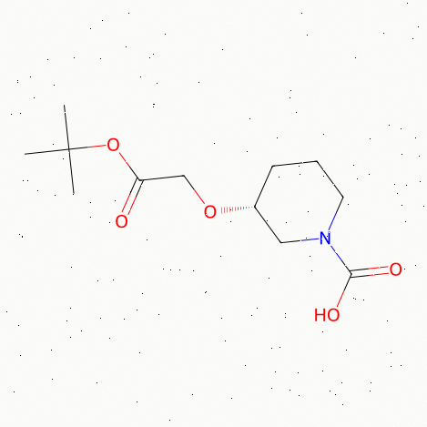 CC(C)(C)OC(=O)CO[C@@H]1CCCN(C(=O)O)C1